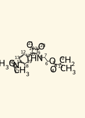 C=C(C)C(=O)OCCNc1c(-c2ccc(N(C)C)cc2)c(=O)c1=O